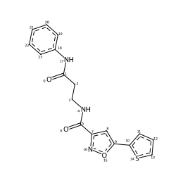 O=C(CCNC(=O)c1cc(-c2cccs2)on1)Nc1ccccc1